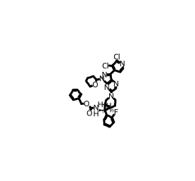 O=C(NC[C@]1(c2ccccc2F)[C@@H]2CCN(c3cnc4c(-c5ccnc(Cl)c5Cl)nn(C5CCCCO5)c4n3)C[C@@H]21)OCc1ccccc1